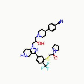 N#Cc1ccc(C2CCN(CC(O)Cn3nc(-c4ccc(C(F)(F)F)c(SCC(=O)N5CCCC5)c4)c4c3CCNC4)CC2)cc1